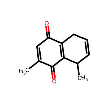 CC1=CC(=O)C2=C(C1=O)C(C)C=CC2